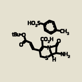 CC(C)(C)OC(=O)C=CC1=C(C(=O)O)N2C(=O)C(N)[C@@H]2SC1.Cc1ccc(S(=O)(=O)O)cc1